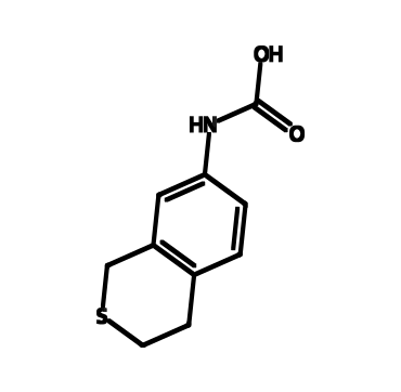 O=C(O)Nc1ccc2c(c1)CSCC2